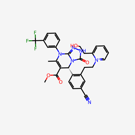 COC(=O)C1=C(C)N(c2cccc(C(F)(F)F)c2)c2n[nH]c(=O)n2[C@@H]1c1ccc(C#N)cc1CC[n+]1ccccc1CCO